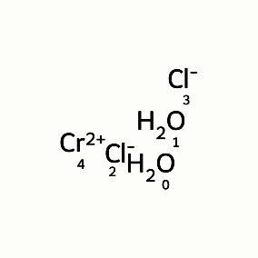 O.O.[Cl-].[Cl-].[Cr+2]